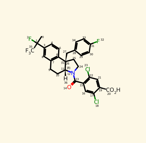 CC(F)(c1ccc2c(c1)CC[C@H]1N(C(=O)c3cc(Cl)c(C(=O)O)cc3Cl)CC[C@@]21Cc1ccc(F)cc1)C(F)(F)F